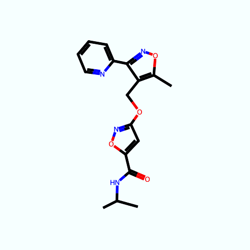 Cc1onc(-c2ccccn2)c1COc1cc(C(=O)NC(C)C)on1